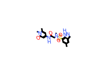 Cc1cc(S(=O)(=O)N(C)CC(=O)Nc2cc(C)n(C)c(=O)c2)c2[nH]ncc2c1